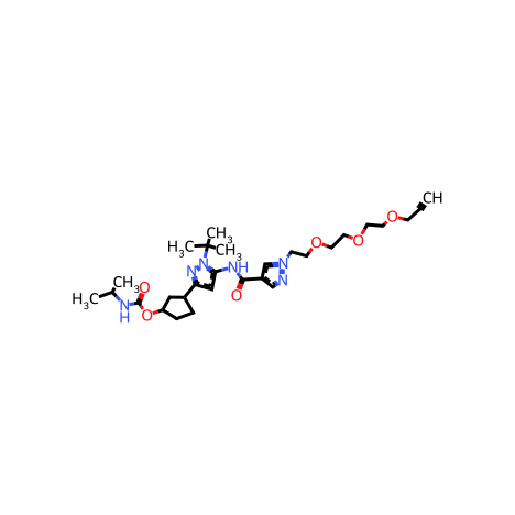 C#CCOCCOCCOCCn1cc(C(=O)Nc2cc(C3CCC(OC(=O)NC(C)C)C3)nn2C(C)(C)C)cn1